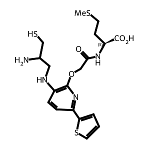 CSCC[C@H](NC(=O)COc1nc(-c2cccs2)ccc1NCC(N)CS)C(=O)O